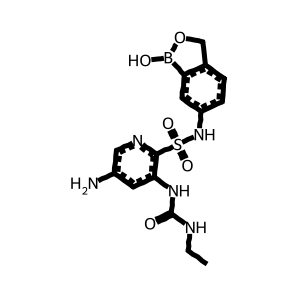 CCNC(=O)Nc1cc(N)cnc1S(=O)(=O)Nc1ccc2c(c1)B(O)OC2